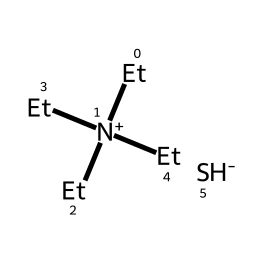 CC[N+](CC)(CC)CC.[SH-]